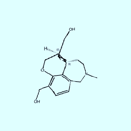 CN1CC[C@@]23C=CC(O)C[C@@H]2COc2c(CO)ccc(c23)C1